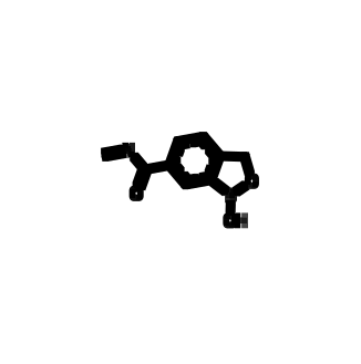 C=NC(=O)c1ccc2c(c1)B(O)OC2